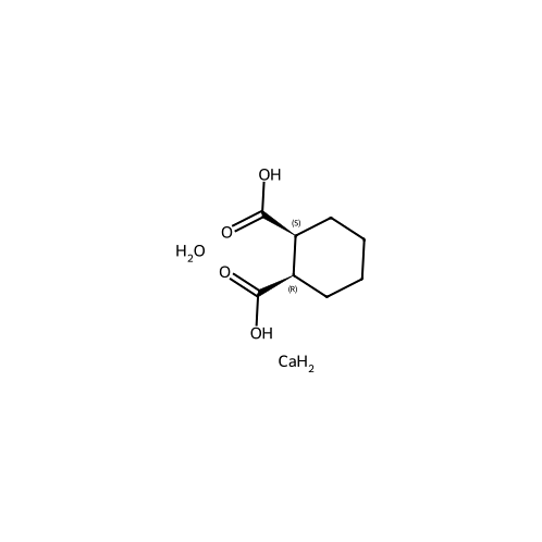 O.O=C(O)[C@H]1CCCC[C@H]1C(=O)O.[CaH2]